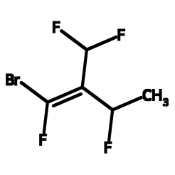 CC(F)/C(=C(\F)Br)C(F)F